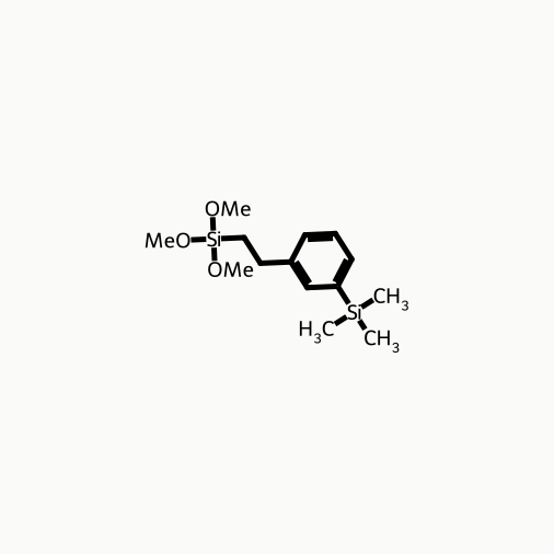 CO[Si](CCc1cccc([Si](C)(C)C)c1)(OC)OC